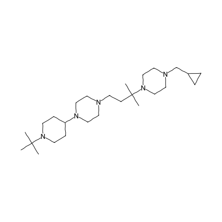 CC(C)(C)N1CCC(N2CCN(CCC(C)(C)N3CCN(CC4CC4)CC3)CC2)CC1